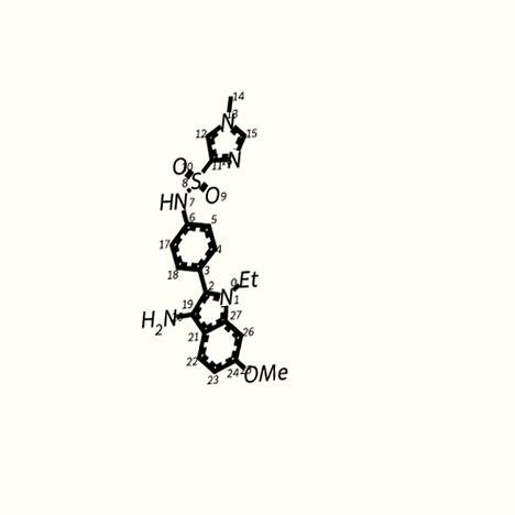 CCn1c(-c2ccc(NS(=O)(=O)c3cn(C)cn3)cc2)c(N)c2ccc(OC)cc21